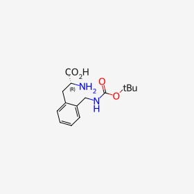 CC(C)(C)OC(=O)NCc1ccccc1C[C@@H](N)C(=O)O